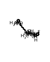 Cc1[nH]c(/C=N/N=C2\C(=O)Nc3ccc(F)cc32)c(C)c1C(=O)NCCCCCCCC(=O)Nc1ccccc1N